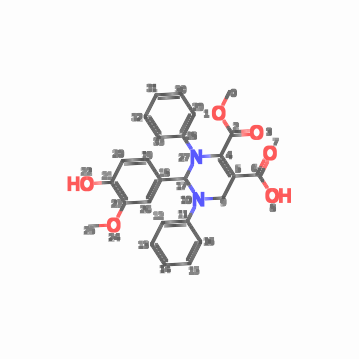 COC(=O)C1=C(C(=O)O)CN(c2ccccc2)C(c2ccc(O)c(OC)c2)N1c1ccccc1